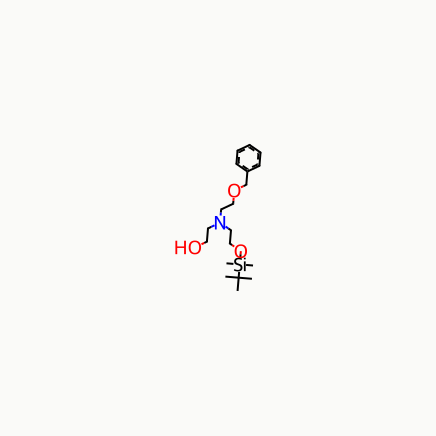 CC(C)(C)[Si](C)(C)OCCN(CCO)CCOCc1ccccc1